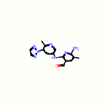 Cc1cc(C=O)c(Nc2cnc(C)c(-n3nccn3)c2)nc1N